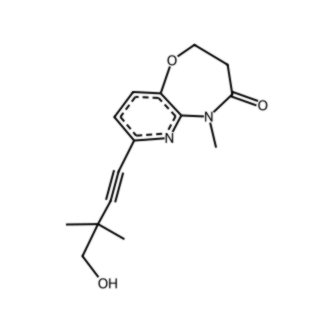 CN1C(=O)CCOc2ccc(C#CC(C)(C)CO)nc21